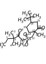 CCC(C)(C)C(=O)NS(=O)(=O)CC1(C)CCC(C(C)(C)C)CC1=O